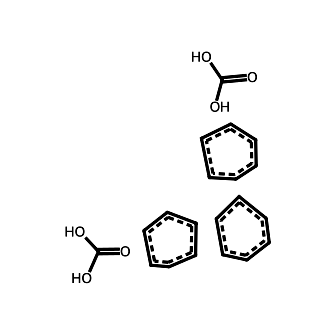 O=C(O)O.O=C(O)O.c1ccccc1.c1ccccc1.c1ccccc1